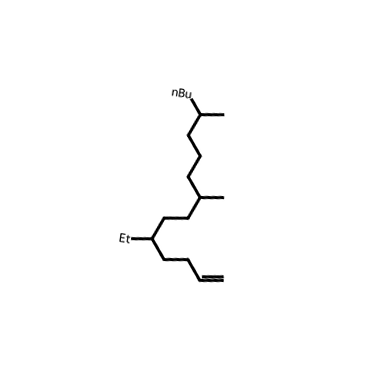 C=CCCC(CC)CCC(C)CCCC(C)CCCC